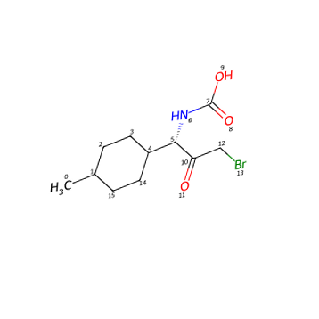 CC1CCC([C@H](NC(=O)O)C(=O)CBr)CC1